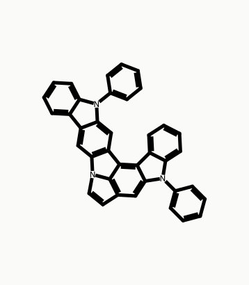 c1ccc(-n2c3ccccc3c3cc4c(cc32)c2c3c5ccccc5n(-c5ccccc5)c3cc3ccn4c32)cc1